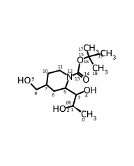 C[C@@H](O)C(O)C1CC(CO)CCN1C(=O)OC(C)(C)C